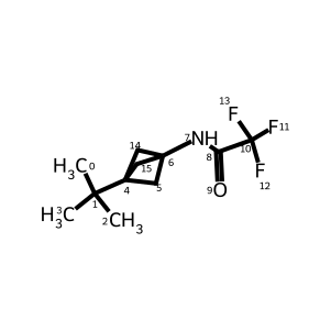 CC(C)(C)C12CC(NC(=O)C(F)(F)F)(C1)C2